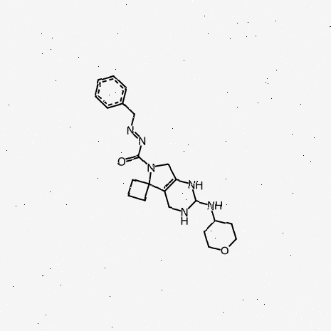 O=C(N=NCc1ccccc1)N1CC2=C(CNC(NC3CCOCC3)N2)C12CCC2